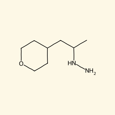 CC(CC1CCOCC1)NN